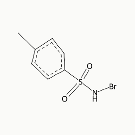 Cc1ccc(S(=O)(=O)NBr)cc1